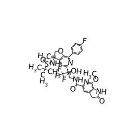 COc1nc(C(=O)NC[C@@](O)(c2cc3c(c(-c4ccc(F)cc4)n2)OC[C@@]3(C)N[S+]([O-])C(C)(C)C)C(F)(F)F)cc2c1NC(=O)C2